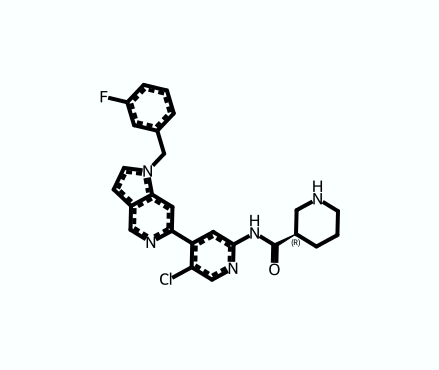 O=C(Nc1cc(-c2cc3c(ccn3Cc3cccc(F)c3)cn2)c(Cl)cn1)[C@@H]1CCCNC1